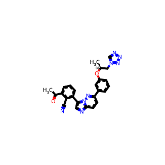 CC(=O)c1cccc(-c2cnc3ccc(-c4cccc(O[C@@H](C)Cn5cnnn5)c4)nn23)c1C#N